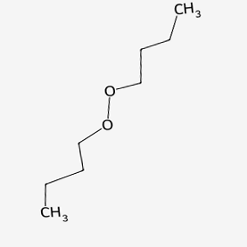 CCCCOOCCCC